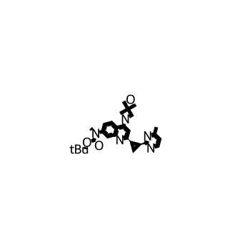 Cc1ccnc([C@H]2C[C@@H]2c2cc(N3CC4(COC4)C3)c3ccc(N(C)C(=O)OC(C)(C)C)cc3n2)n1